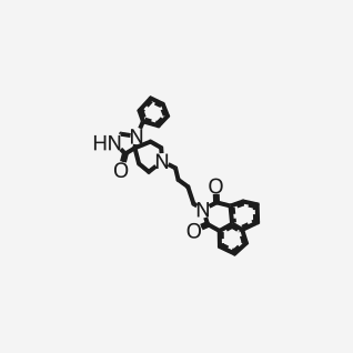 O=C1c2cccc3cccc(c23)C(=O)N1CCCCN1CCC2(CC1)C(=O)NCN2c1ccccc1